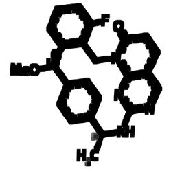 COC(=O)c1ccc([C@H](C)Nc2ncc3ccc(=O)n(Cc4c(F)cccc4F)c3n2)cc1